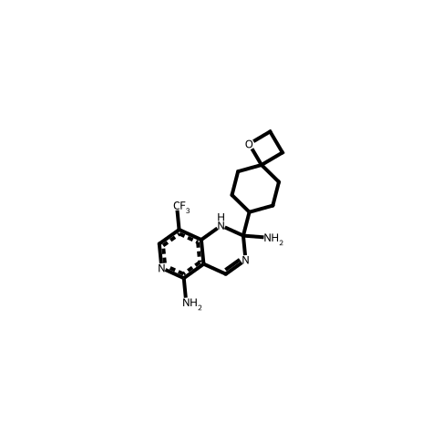 Nc1ncc(C(F)(F)F)c2c1C=NC(N)(C1CCC3(CCO3)CC1)N2